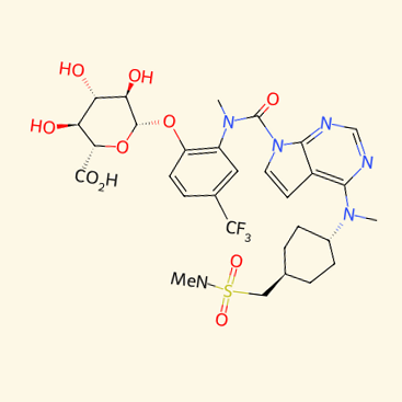 CNS(=O)(=O)C[C@H]1CC[C@H](N(C)c2ncnc3c2ccn3C(=O)N(C)c2cc(C(F)(F)F)ccc2O[C@@H]2O[C@H](C(=O)O)[C@@H](O)[C@H](O)[C@H]2O)CC1